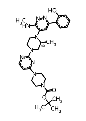 CNc1nnc(-c2ccccc2O)cc1N1CCN(c2nccc(N3CCN(C(=O)OC(C)(C)C)CC3)n2)C[C@@H]1C